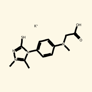 Cc1n(-c2ccc(N(C)CC(=O)O)cc2)c(S)n[n+]1C.[K+]